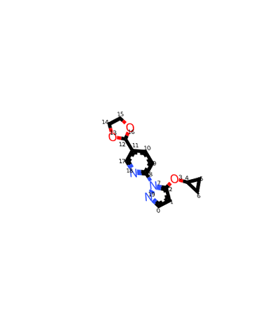 c1cc(OC2CC2)n(-c2ccc(C3OCCO3)cn2)n1